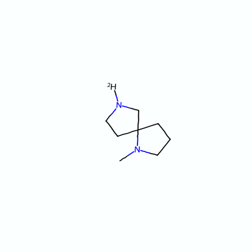 [2H]N1CCC2(CCCN2C)C1